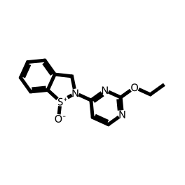 CCOc1nccc(N2Cc3ccccc3[S+]2[O-])n1